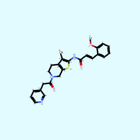 CCOc1ccccc1/C=C/C(=O)Nc1sc2c(c1C#N)CCN(C(=O)Cc1cccnc1)C2